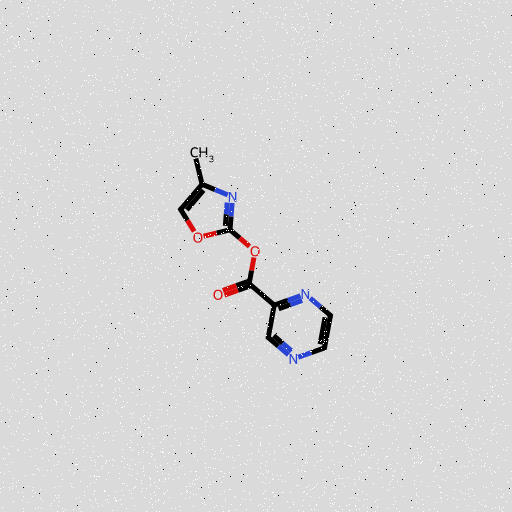 Cc1coc(OC(=O)c2cnccn2)n1